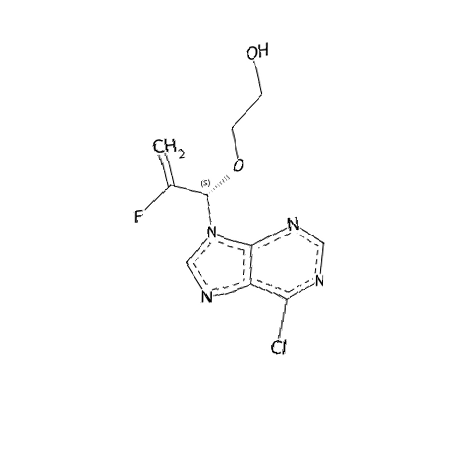 C=C(F)[C@H](OCCO)n1cnc2c(Cl)ncnc21